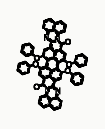 O=c1c2cc(Oc3ccccc3)c3c4c(Oc5ccccc5)cc5c6c(cc(Oc7ccccc7)c(c7c(Oc8ccccc8)cc(c2c37)c2nc3cccc7cccc(c73)n12)c46)c(=O)n1c2cccc3cccc(nc51)c32